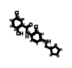 O=C(Nc1ccc(NCC2CCCC2)cc1Cl)c1cc(Cl)ccc1O